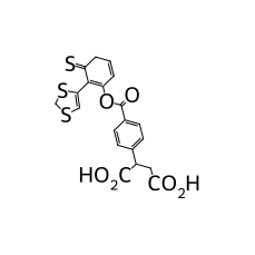 O=C(O)CC(C(=O)O)c1ccc(C(=O)OC2=C(C3=CSCS3)C(=S)CC=C2)cc1